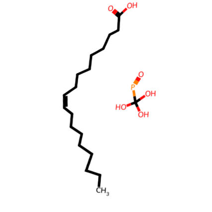 CCCCCCCC/C=C\CCCCCCCC(=O)O.O=PC(O)(O)O